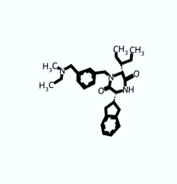 CCC(CC)[C@@H]1C(=O)N[C@H](C2Cc3ccccc3C2)C(=O)N1Cc1cccc(CN(C)CC)c1